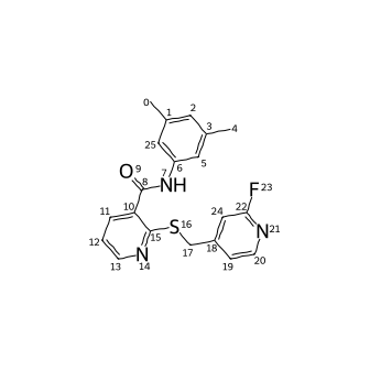 Cc1cc(C)cc(NC(=O)c2cccnc2SCc2ccnc(F)c2)c1